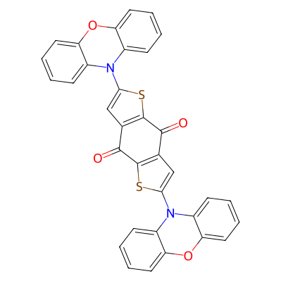 O=C1c2cc(N3c4ccccc4Oc4ccccc43)sc2C(=O)c2cc(N3c4ccccc4Oc4ccccc43)sc21